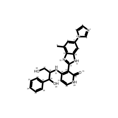 Cc1cc(-n2ccnc2)cc2[nH]c(-c3c(NC(CO)C(O)c4ccccc4)cc[nH]c3=O)nc12